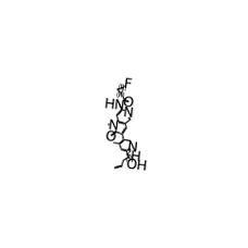 [2H][C@](O)(CC=C)c1cc(C)c(-c2cc3cnc(NC(=O)[C@H]4C[C@H]4F)cc3n(C)c2=O)cn1